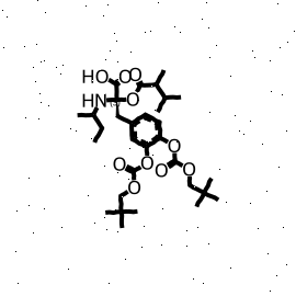 CCC(C)N[C@@](Cc1ccc(OC(=O)OCC(C)(C)C)c(OC(=O)OCC(C)(C)C)c1)(OC(=O)C(C)C(C)C)C(=O)O